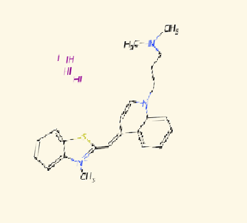 CN(C)CCCN1C=CC(=Cc2sc3ccccc3[n+]2C)c2ccccc21.I.I.I.[I-]